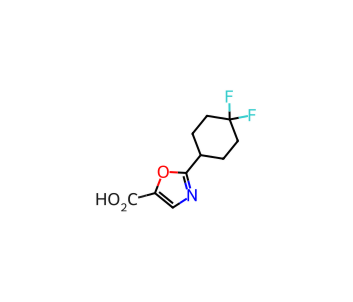 O=C(O)c1cnc(C2CCC(F)(F)CC2)o1